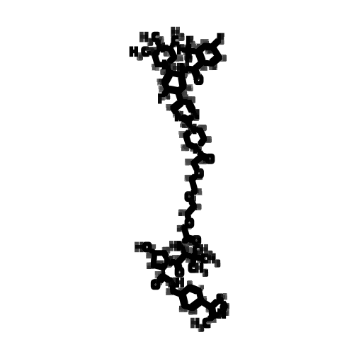 Cc1ncsc1-c1ccc(CNC(=O)[C@@H]2C[C@@H](O)CN2C(=O)[C@@H](NC(=O)COCCOCCOCC(=O)N2CCN(c3ncc(-c4cc(NC(=O)c5ccc(F)cc5C(F)(F)F)c(N5C[C@@H](C)N(C)[C@@H](C)C5)cc4F)cn3)CC2)C(C)(C)C)cc1